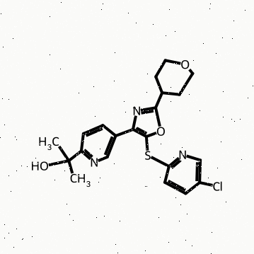 CC(C)(O)c1ccc(-c2nc(C3CCOCC3)oc2Sc2ccc(Cl)cn2)cn1